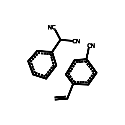 C=Cc1ccc(C#N)cc1.N#CC(C#N)c1ccccc1